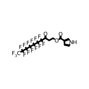 O=C(OCCC(=O)C(F)(F)C(F)(F)C(F)(F)C(F)(F)C(F)(F)C(F)(F)C(F)(F)F)c1cc[nH]c1